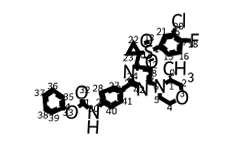 C[C@H]1COCCN1c1cc(C2(S(=O)(=O)c3ccc(F)c(Cl)c3)CC2)nc(-c2ccc(NC(=O)Oc3ccccc3)cc2)n1